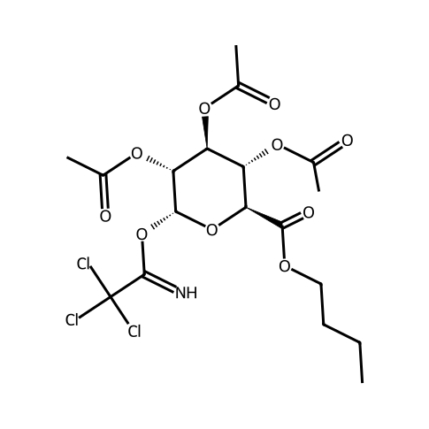 CCCCOC(=O)[C@H]1O[C@H](OC(=N)C(Cl)(Cl)Cl)[C@H](OC(C)=O)[C@@H](OC(C)=O)[C@@H]1OC(C)=O